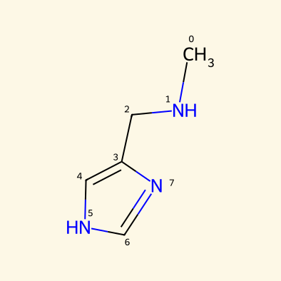 CNCc1c[nH]cn1